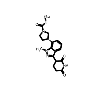 Cn1nc(C2CCC(=O)NC2=O)c2cccc([C@H]3CCN(C(=O)OC(C)(C)C)C3)c21